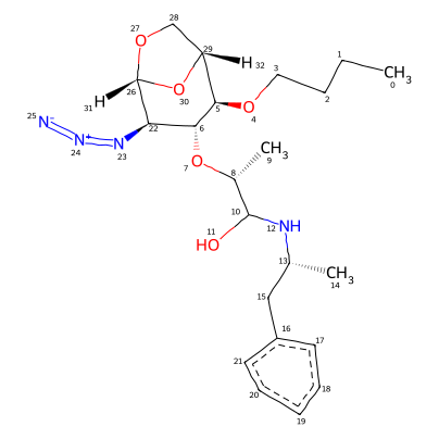 CCCCO[C@H]1[C@H](O[C@H](C)C(O)N[C@H](C)Cc2ccccc2)[C@@H](N=[N+]=[N-])[C@@H]2OC[C@H]1O2